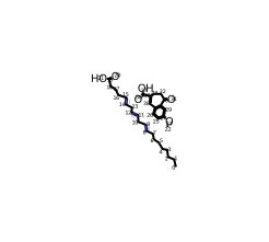 CCCCCCCC/C=C/C/C=C/C/C=C/CCCC(=O)O.COc1ccc2c(c1)C(=O)CCC(C(=O)O)=C2